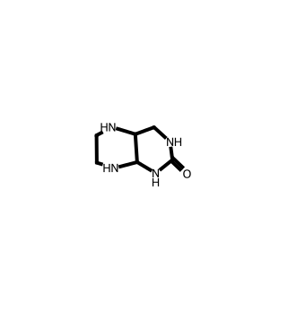 O=C1NCC2NCCNC2N1